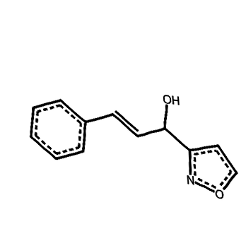 OC(C=Cc1ccccc1)c1ccon1